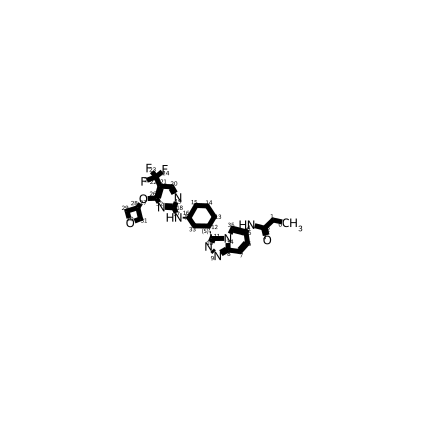 CCC(=O)Nc1ccc2nnc([C@H]3CCC[C@@H](Nc4ncc(C(F)(F)F)c(OC5COC5)n4)C3)n2c1